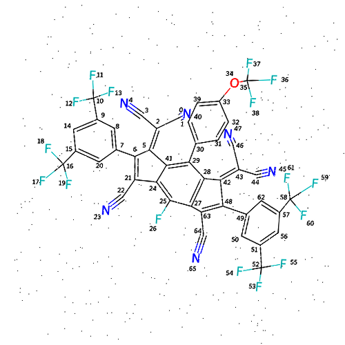 N#CC(C#N)=C1C(c2cc(C(F)(F)F)cc(C(F)(F)F)c2)=C(C#N)c2c(F)c3c(c(-c4ccc(OC(F)(F)F)cc4)c21)C(=C(C#N)C#N)C(c1cc(C(F)(F)F)cc(C(F)(F)F)c1)=C3C#N